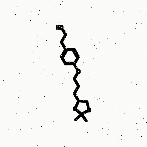 CC1(C)OCC(CCCOc2ccc(CCO)cc2)O1